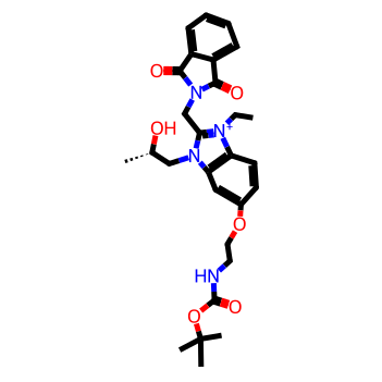 CC[n+]1c(CN2C(=O)c3ccccc3C2=O)n(C[C@H](C)O)c2cc(OCCNC(=O)OC(C)(C)C)ccc21